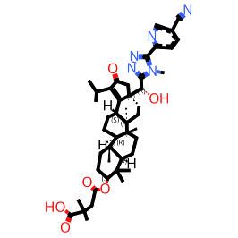 CC(C)C1=C2[C@H]3CC[C@@H]4[C@@]5(C)CC[C@H](OC(=O)CC(C)(C)C(=O)O)C(C)(C)[C@@H]5CC[C@@]4(C)[C@]3(C)CC[C@@]2([C@@H](O)c2nnc(-c3ccc(C#N)cn3)n2C)CC1=O